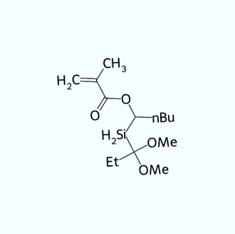 C=C(C)C(=O)OC(CCCC)[SiH2]C(CC)(OC)OC